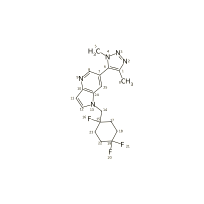 Cc1nnn(C)c1-c1cnc2ccn(CC3(F)CCC(F)(F)CC3)c2c1